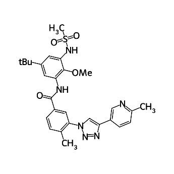 COc1c(NC(=O)c2ccc(C)c(-n3cc(-c4ccc(C)nc4)nn3)c2)cc(C(C)(C)C)cc1NS(C)(=O)=O